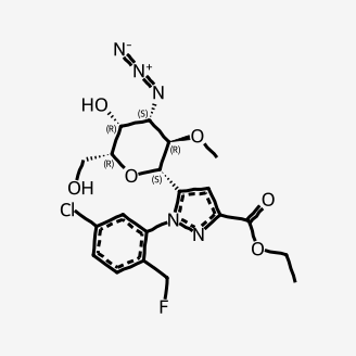 CCOC(=O)c1cc([C@@H]2O[C@H](CO)[C@H](O)[C@H](N=[N+]=[N-])[C@H]2OC)n(-c2cc(Cl)ccc2CF)n1